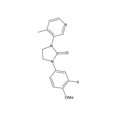 COc1ccc(N2CCN(c3cnccc3C)C2=O)cc1F